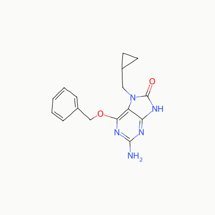 Nc1nc(OCc2ccccc2)c2c(n1)[nH]c(=O)n2CC1CC1